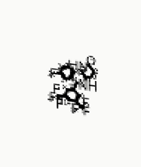 O=C1CC[C@H](NCc2cc(C(F)(F)F)cc(C(F)(F)F)c2)[C@H](c2ccc(F)cc2)N1